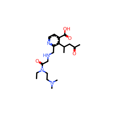 CCN(CCN(C)C)C(=O)CNCc1nccc(C(=O)O)c1C(C)CC(C)=O